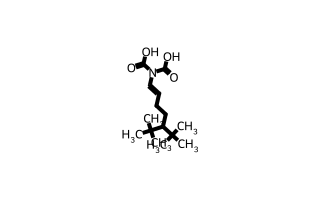 CC(C)(C)C(CCC=CN(C(=O)O)C(=O)O)C(C)(C)C